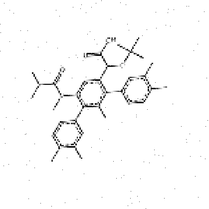 Cc1ccc(-c2c(C(OC(C)(C)C)C(=O)O)cc(N(C)C(=O)C(C)C)c(-c3ccc(C)c(C)c3)c2C)cc1C